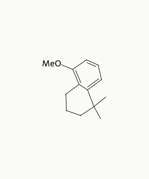 COc1cccc2c1CCCC2(C)C